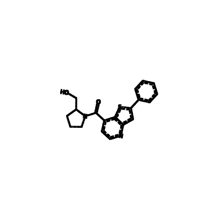 O=C(c1ccnc2cc(-c3ccccc3)sc12)N1CCCC1CO